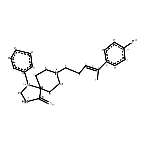 C/C(=C\CCN1CCC2(CC1)C(=O)NCN2c1ccccc1)c1ccc(F)cc1